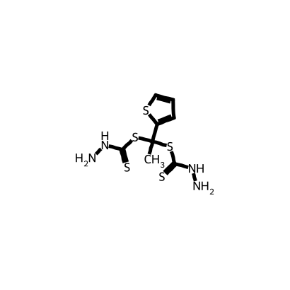 CC(SC(=S)NN)(SC(=S)NN)c1cccs1